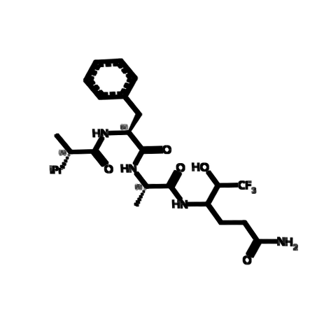 CC(C)[C@H](C)C(=O)N[C@@H](Cc1ccccc1)C(=O)N[C@@H](C)C(=O)NC(CCC(N)=O)C(O)C(F)(F)F